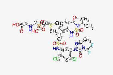 CC(C)N1C(=O)c2ccccc2NS1(=O)=O.C[S+](C)C.Cc1nn(-c2cc(NS(C)(=O)=O)c(Cl)cc2Cl)c(=O)n1C(F)F.O=C(O)CNCP(=O)([O-])O